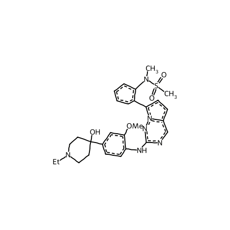 CCN1CCC(O)(c2ccc(Nc3ncc4ccc(-c5ccccc5N(C)S(C)(=O)=O)n4n3)c(OC)c2)CC1